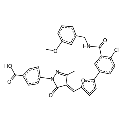 COc1cccc(CNC(=O)c2cc(-c3ccc(C=C4C(=O)N(c5ccc(C(=O)O)cc5)N=C4C)o3)ccc2Cl)c1